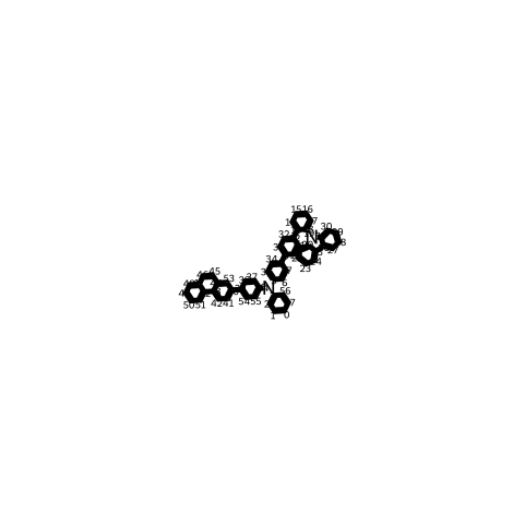 c1ccc(N(c2ccc(-c3ccc(-c4ccccc4-n4c5ccccc5c5ccccc54)cc3)cc2)c2ccc(-c3ccc4c(ccc5ccccc54)c3)cc2)cc1